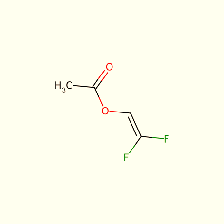 CC(=O)OC=C(F)F